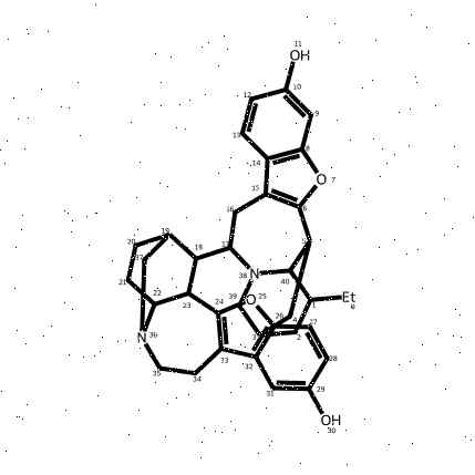 CCC1CC2CC3c4oc5cc(O)ccc5c4CC(C4C5CCC6C4c4oc7ccc(O)cc7c4CCN6C5)N(C2)C13